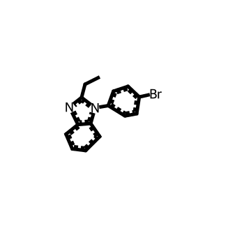 CCc1nc2ccccc2n1-c1ccc(Br)cc1